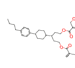 C=C(C)C(=O)OCCC(CCOC(=O)C(=C)CO)C1CCC(c2ccc(CCCC)cc2)CC1